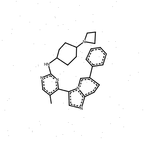 Cc1cnc(NC2CCC(N3CCC3)CC2)nc1-c1cnc2ccc(-c3ccccc3)cn12